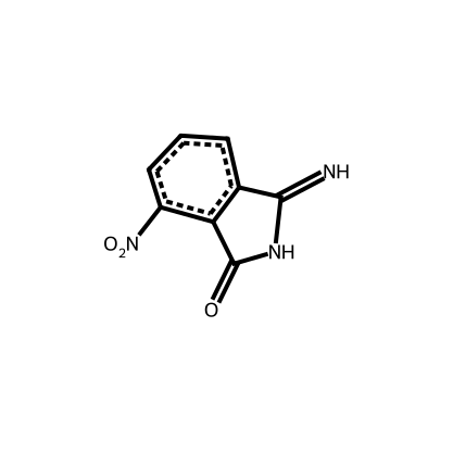 N=C1NC(=O)c2c1cccc2[N+](=O)[O-]